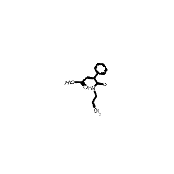 C=CCNC(=O)C(=CC(=O)O)c1ccccc1